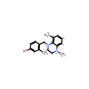 Cc1cc(Br)ccc1CN1CCN(C)c2cccc(C)c21